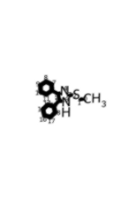 CCSC1=NC(c2ccccc2)C(c2ccccc2)N1